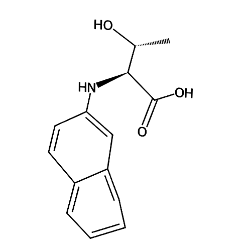 C[C@@H](O)[C@H](Nc1ccc2ccccc2c1)C(=O)O